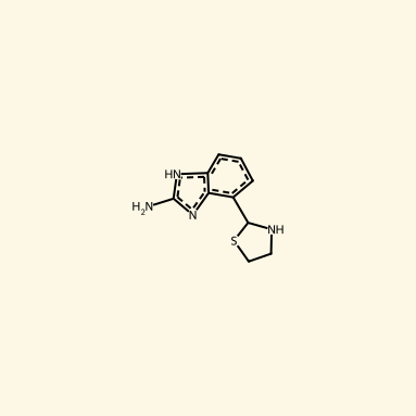 Nc1nc2c(C3NCCS3)cccc2[nH]1